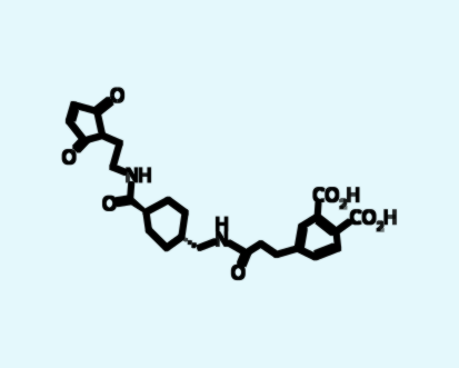 O=C(CCc1ccc(C(=O)O)c(C(=O)O)c1)NC[C@H]1CC[C@H](C(=O)NCCC2C(=O)C=CC2=O)CC1